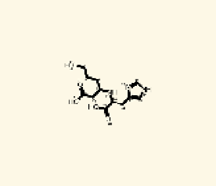 CCCCC(CC(=O)O)N[C@@H](Cc1c[nH]cn1)C(=O)O